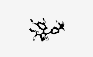 CCNC(=O)c1c[nH]c(-c2ccc(C(F)(F)F)cc2)c1-c1cc(OC)cc(OC)c1